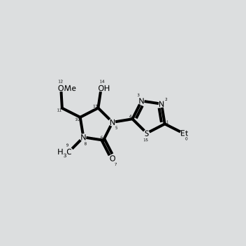 CCc1nnc(N2C(=O)N(C)C(COC)C2O)s1